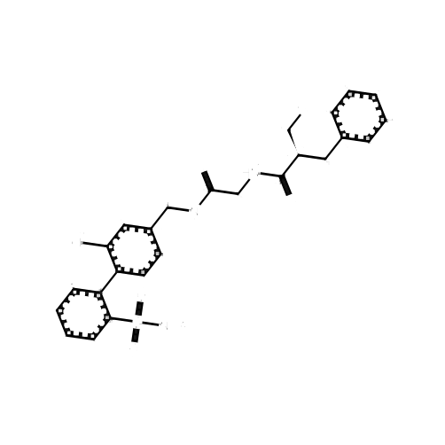 CC(=O)NS(=O)(=O)c1ccccc1-c1ccc(CNC(=O)CNC(=O)[C@@H](CS)Cc2ccccc2)cc1Cl